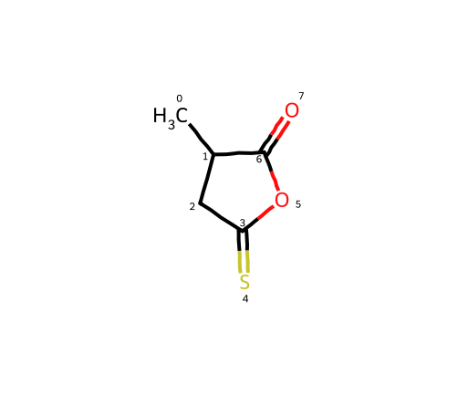 CC1CC(=S)OC1=O